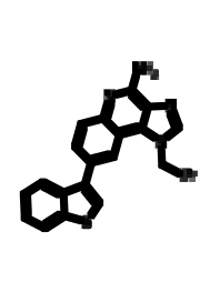 CC(C)Cn1cnc2c(N)nc3ccc(-c4csc5ccccc45)cc3c21